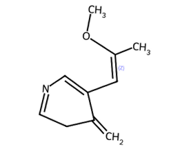 C=C1CC=NC=C1/C=C(/C)OC